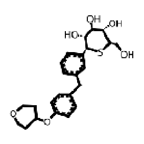 OC[C@H]1S[C@@H](c2cccc(Cc3ccc(OC4CCOCC4)cc3)c2)[C@H](O)[C@@H](O)[C@@H]1O